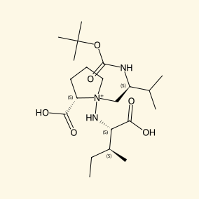 CC[C@H](C)[C@H](N[N+]1(C[C@@H](NC(=O)OC(C)(C)C)C(C)C)CCC[C@H]1C(=O)O)C(=O)O